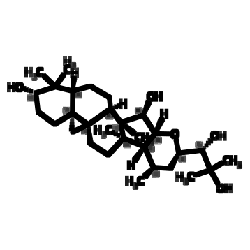 C[C@@H]1C[C@H]([C@H](O)C(C)(C)O)O[C@@H]2[C@H]1[C@@]1(C)CC[C@@]34C[C@@]35CC[C@H](O)C(C)(C)[C@@H]5CC[C@H]4[C@]1(C)[C@H]2O